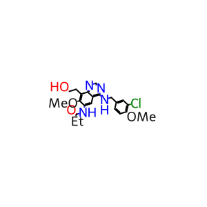 CCC(=O)Nc1cc2c(NCc3ccc(OC)c(Cl)c3)ncnc2c(CCO)c1OC